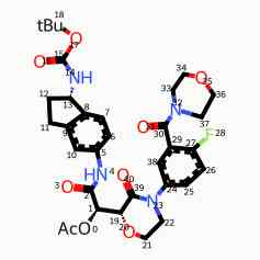 CC(=O)O[C@@H](C(=O)Nc1ccc2c(c1)CC[C@@H]2NC(=O)OC(C)(C)C)[C@H]1OCCN(c2ccc(F)c(C(=O)N3CCOCC3)c2)C1=O